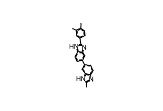 Cc1nc2ccc(-c3ccc4[nH]c(-c5ccc(C)c(C)c5)nc4c3)cc2[nH]1